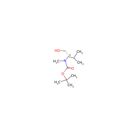 CC(C)[C@@H](CO)N(C)C(=O)OC(C)(C)C